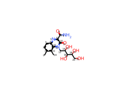 Cc1ccc2nc(C(N)=O)c(=O)n(CC(O)C(O)C(O)CO)c2c1C